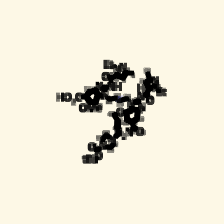 CCn1nc(C)cc1C(=O)Nc1nc2cc(C(=O)O)cc(OC)c2n1C/C=C/Cn1c(NC(=O)c2cc(C)nn2CC)nc2cc(C(N)=O)cc(OCC#CCN3CCN(C(=O)OC(C)(C)C)CC3)c21